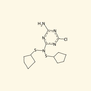 Nc1nc(Cl)nc(N(SC2CCCC2)SC2CCCC2)n1